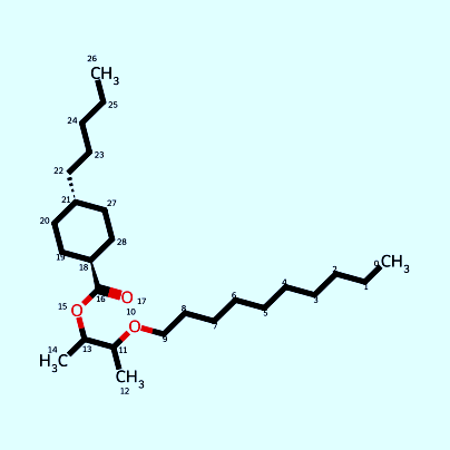 CCCCCCCCCCOC(C)C(C)OC(=O)[C@H]1CC[C@H](CCCCC)CC1